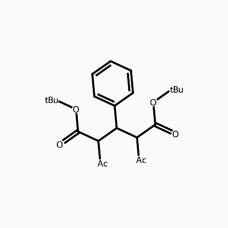 CC(=O)C(C(=O)OC(C)(C)C)C(c1ccccc1)C(C(C)=O)C(=O)OC(C)(C)C